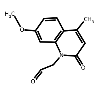 COc1ccc2c(C)cc(=O)n(CC=O)c2c1